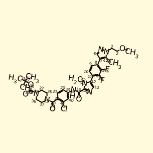 COCCn1ncc(-c2ccc(-c3cnc(C(=O)Nc4ccc(C(=O)N5CCN(C(=O)OC(C)(C)C)CC5)c(Cl)c4)n3C)c(F)c2F)c1C